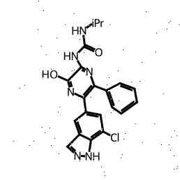 CC(C)NC(=O)Nc1nc(-c2ccccc2)c(-c2cc(Cl)c3[nH]ncc3c2)nc1O